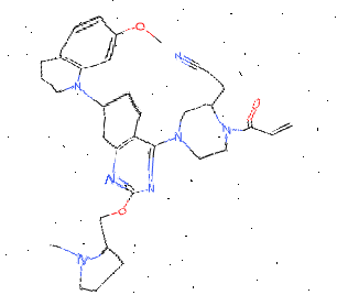 C=CC(=O)N1CCN(c2nc(OCC3CCCN3C)nc3c2CCC(N2CCCc4ccc(OC)cc42)C3)CC1CC#N